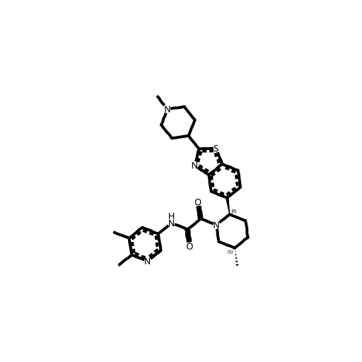 Cc1cc(NC(=O)C(=O)N2C[C@@H](C)CC[C@@H]2c2ccc3sc(C4CCN(C)CC4)nc3c2)cnc1C